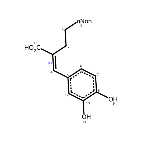 CCCCCCCCCCC/C(=C\c1ccc(O)c(O)c1)C(=O)O